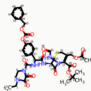 CCN1CCN(C(=O)NC(C(=O)N[C@@H]2C(=O)N3C(C(=O)OC(C)(C)C)=C(COC(C)=O)CSC23NC=O)c2ccc(OC(=O)OCc3ccccc3)cc2)C(=O)C1=O